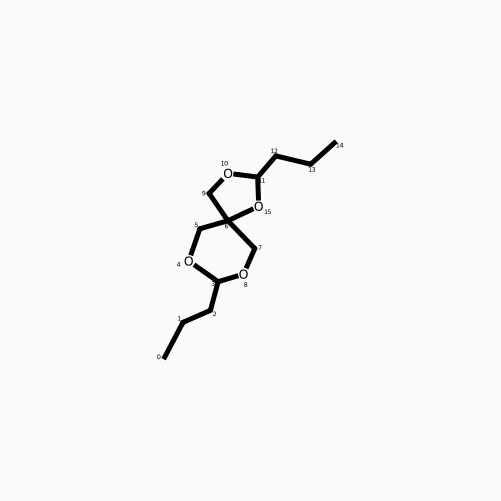 CCCC1OCC2(CO1)COC(CCC)O2